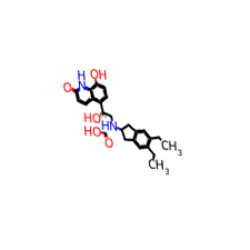 CCc1cc2c(cc1CC)CC(NC[C@H](O)c1ccc(O)c3[nH]c(=O)ccc13)C2.O=CO